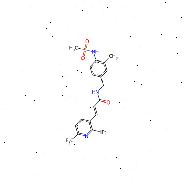 Cc1cc(CNC(=O)C=Cc2ccc(C(F)(F)F)nc2C(C)C)ccc1NS(C)(=O)=O